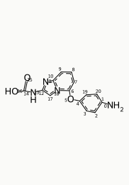 Nc1ccc(Oc2cccc3nc(NC(=O)O)cn23)cc1